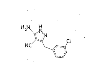 N#Cc1c(Cc2cccc(Cl)c2)n[nH]c1N